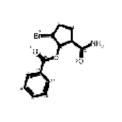 NC(=O)C1CCC(Br)C1OC(=O)c1ccccc1